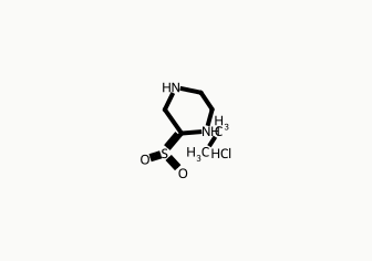 CC.Cl.O=S(=O)=C1CNCCN1